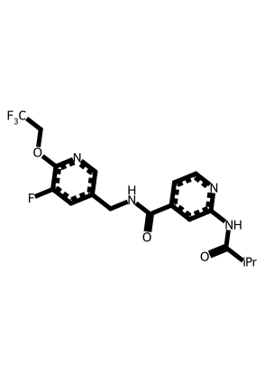 CC(C)C(=O)Nc1cc(C(=O)NCc2cnc(OCC(F)(F)F)c(F)c2)ccn1